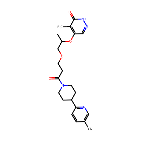 CC(COCCC(=O)N1CCC(c2ccc(C#N)cn2)CC1)Oc1cn[nH]c(=O)c1C(F)(F)F